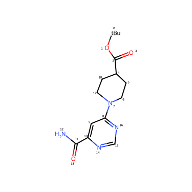 CC(C)(C)OC(=O)C1CCN(c2cc(C(N)=O)ncn2)CC1